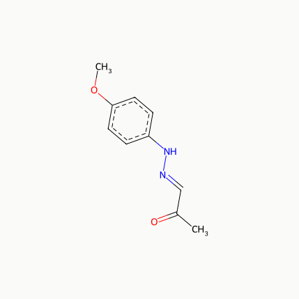 COc1ccc(N/N=C/C(C)=O)cc1